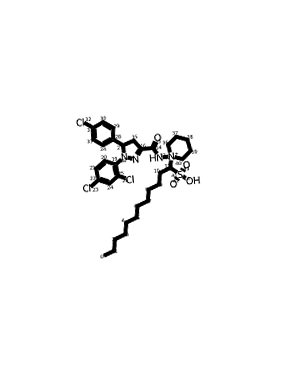 CCCCCCCCCCCC([N+]1(NC(=O)C2=NN(c3ccc(Cl)cc3Cl)C(c3ccc(Cl)cc3)C2)CCCCC1)S(=O)(=O)O